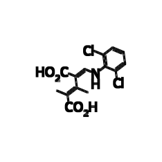 C/C(C(=O)O)=C(/C)C(=CNc1c(Cl)cccc1Cl)C(=O)O